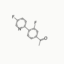 CC(=O)c1ccc(-c2ccc(F)cn2)c(F)c1